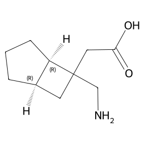 NCC1(CC(=O)O)C[C@H]2CCC[C@H]21